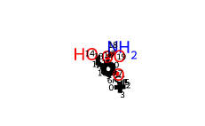 CC(C)(C)[Si](C)(C)Oc1ccc([CH]CO)c(OC(N)=O)c1